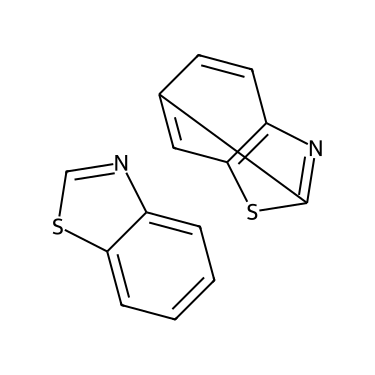 c1cc2nc3sc2cc13.c1ccc2scnc2c1